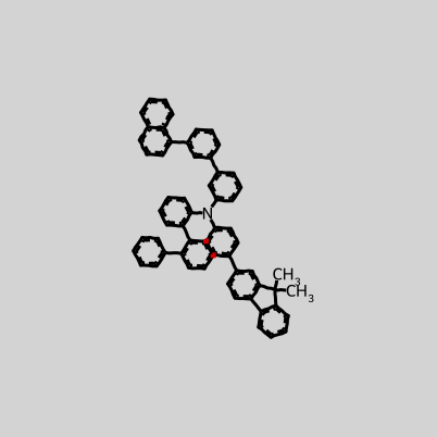 CC1(C)c2ccccc2-c2ccc(-c3ccc(N(c4cccc(-c5cccc(-c6cccc7ccccc67)c5)c4)c4ccccc4-c4ccccc4-c4ccccc4)cc3)cc21